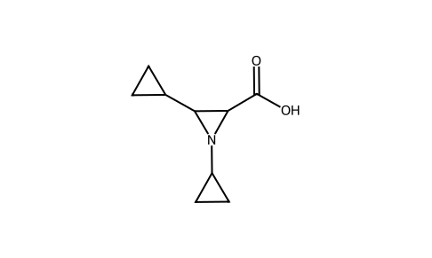 O=C(O)C1C(C2CC2)N1C1CC1